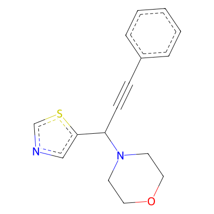 C(#CC(c1cncs1)N1CCOCC1)c1ccccc1